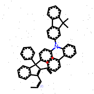 C=CC1=C(/C=C\C)c2ccccc2C1(c1ccccc1)c1ccc(N(c2ccc3c(c2)C(C)(C)c2ccccc2-3)c2ccccc2-c2ccccc2)cc1